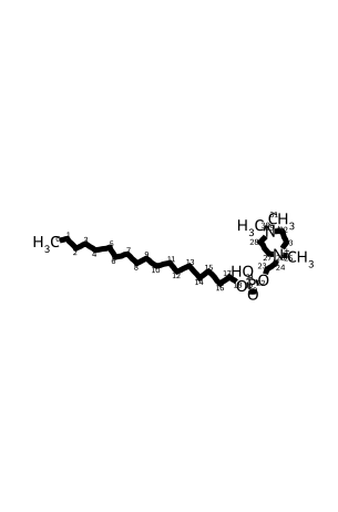 CCCCCCCCCCCCCCCCCCOP(=O)(O)OCC[N+]1(C)CC[N+](C)(C)CC1